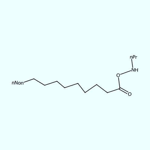 CCCCCCCCCCCCCCCCCC(=O)ONCCC